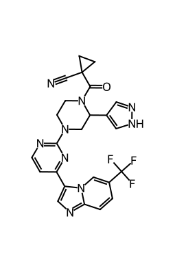 N#CC1(C(=O)N2CCN(c3nccc(-c4cnc5ccc(C(F)(F)F)cn45)n3)CC2c2cn[nH]c2)CC1